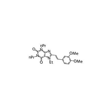 CCCn1c(=O)c2c(nc(C=Cc3ccc(OC)c(OC)c3)n2CC)n(CCC)c1=O